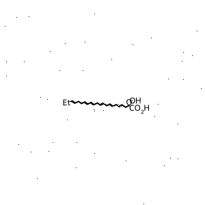 CCC=CCCC=CC=CCC=CCC=CCC=CCC(OO)C(=O)O